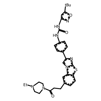 CCN1CCN(C(=O)CCc2ccc3sc4nc(-c5ccc(NC(=O)Nc6cc(C(C)(C)C)on6)cc5)cn4c3c2)CC1